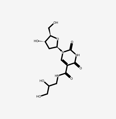 O=C(NCC(O)CO)c1cn([C@H]2C[C@H](O)[C@@H](CO)O2)c(=O)[nH]c1=O